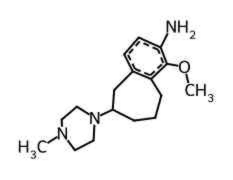 COc1c(N)ccc2c1CCCC(N1CCN(C)CC1)C2